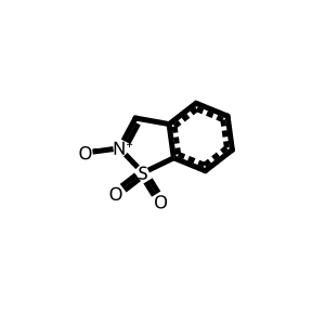 O=S1(=O)c2ccccc2C=[N+]1[O-]